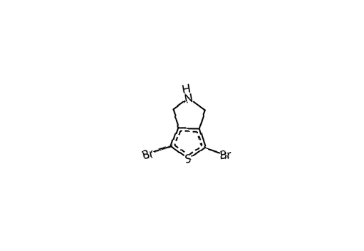 Brc1sc(Br)c2c1CNC2